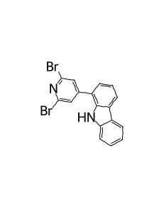 Brc1cc(-c2cccc3c2[nH]c2ccccc23)cc(Br)n1